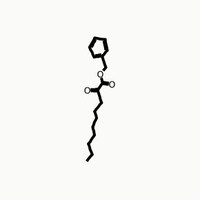 CCCCCCCCC(=O)C(=O)OCc1ccccc1